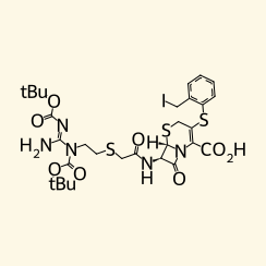 CC(C)(C)OC(=O)N=C(N)N(CCSCC(=O)N[C@@H]1C(=O)N2C(C(=O)O)=C(Sc3ccccc3CI)CS[C@@H]12)C(=O)OC(C)(C)C